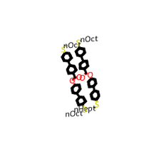 CCCCCCCCSc1ccc(-c2ccc(C(=O)Oc3ccc(-c4ccc(SCCCCCCC)cc4)cc3)cc2)cc1.CCCCCCCCSc1ccc(-c2ccc(OC(=O)c3ccc(-c4ccc(SCCCCCCCC)cc4)cc3)cc2)cc1